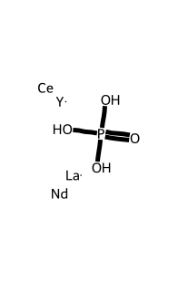 O=P(O)(O)O.[Ce].[La].[Nd].[Y]